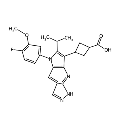 COc1cc(-n2c(C(C)C)c(C3CC(C(=O)O)C3)c3nc4[nH]ncc4cc32)ccc1F